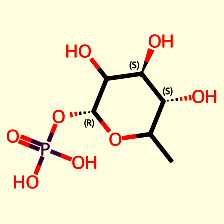 CC1O[C@H](OP(=O)(O)O)C(O)[C@@H](O)[C@@H]1O